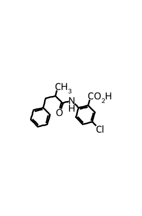 CC(Cc1ccccc1)C(=O)Nc1ccc(Cl)cc1C(=O)O